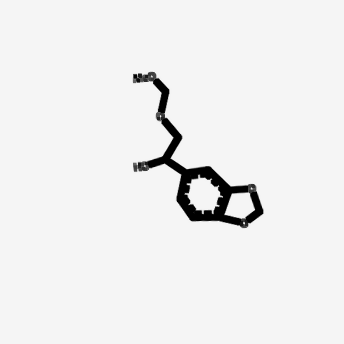 COCOCC(O)c1ccc2c(c1)OCO2